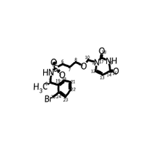 C[C@@H](NS(=O)(=O)CCCOCn1ccc(=O)[nH]c1=O)c1ccccc1Br